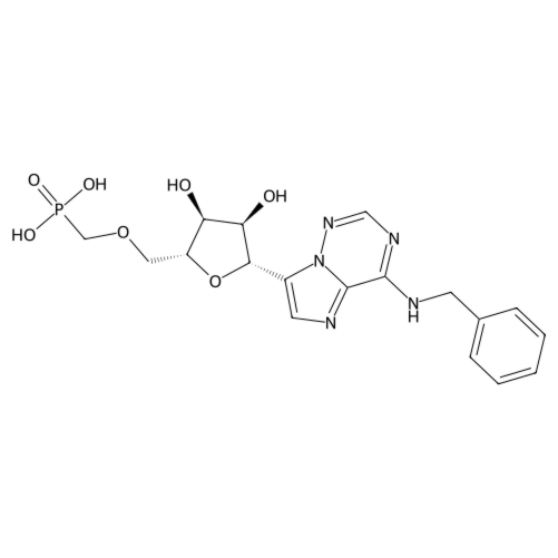 O=P(O)(O)COC[C@H]1O[C@@H](c2cnc3c(NCc4ccccc4)ncnn23)[C@H](O)[C@@H]1O